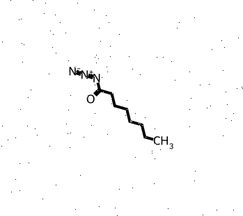 CCCCCCCC(=O)N=[N+]=[N-]